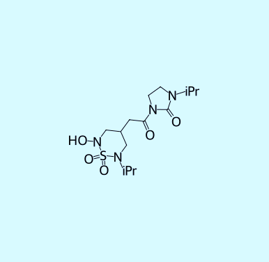 CC(C)N1CCN(C(=O)CC2CN(O)S(=O)(=O)N(C(C)C)C2)C1=O